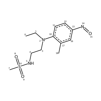 CCN(CCNS(C)(=O)=O)c1ccc(N=O)cc1C